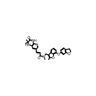 Cc1oc2c(Oc3ccc4c(c3)OCC4)cccc2c1CN(C)C(=O)/C=C/c1cnc2c(c1)NC(C)(C)C(=O)N2